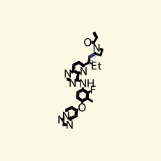 C=CC(=O)N1CC/C1=C\[C@H](CC)c1ccc2ncnc(Nc3ccc(Oc4ccn5ncnc5c4)c(C)c3F)c2n1